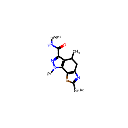 CCCCCNC(=O)c1nn(C(C)C)c2c1C(C)Cc1nc(NC(C)=O)sc1-2